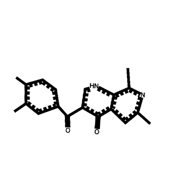 Cc1cc2c(=O)c(C(=O)c3ccc(C)c(C)c3)c[nH]c2c(C)n1